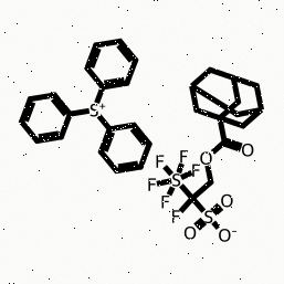 O=C(OCC(F)(S(=O)(=O)[O-])S(F)(F)(F)(F)F)C12CC3CC(CC(C3)C1)C2.c1ccc([S+](c2ccccc2)c2ccccc2)cc1